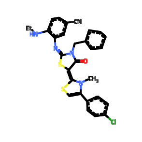 CCNc1ccc(C#N)cc1/N=C1/S/C(=C2\SC=C(c3ccc(Cl)cc3)N2C)C(=O)N1Cc1ccccc1